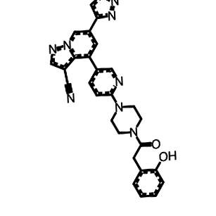 Cn1ccc(-c2cc(-c3ccc(N4CCN(C(=O)Cc5ccccc5O)CC4)nc3)c3c(C#N)cnn3c2)n1